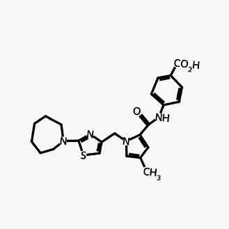 Cc1cc(C(=O)Nc2ccc(C(=O)O)cc2)n(Cc2csc(N3CCCCCC3)n2)c1